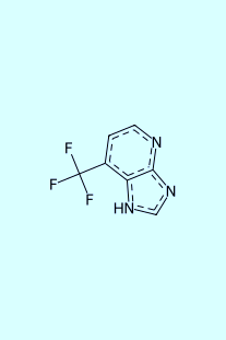 FC(F)(F)c1ccnc2nc[nH]c12